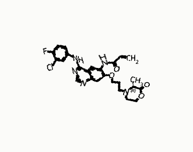 C=CC(=O)Nc1cc2c(Nc3ccc(F)c(Cl)c3)ncnc2cc1OCCCN1CCOC(=O)[C@H]1C